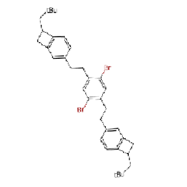 CC(C)(C)CC1Cc2cc(CCc3cc(Br)c(CCc4ccc5c(c4)CC5CC(C)(C)C)cc3Br)ccc21